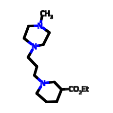 CCOC(=O)C1CCCN(CCCN2CCN(C)CC2)C1